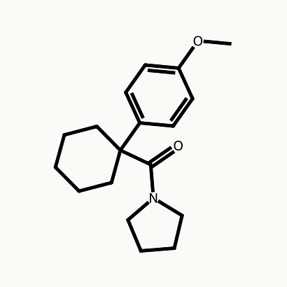 COc1ccc(C2(C(=O)N3CCCC3)CCCCC2)cc1